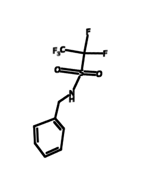 O=S(=O)(NCc1ccccc1)C(F)(F)C(F)(F)F